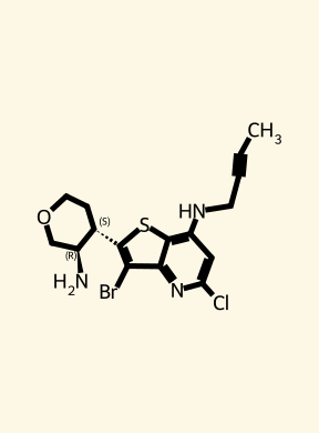 CC#CCNc1cc(Cl)nc2c(Br)c([C@H]3CCOC[C@@H]3N)sc12